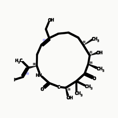 C/C(=C\I)[C@@H]1C/C=C(/CO)CCC[C@H](C)[C@H](O)[C@@H](C)C(=O)C(C)(C)[C@@H](O)CC(=O)N1